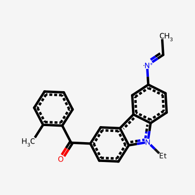 CC=[N+]c1ccc2c(c1)c1cc(C(=O)c3ccccc3C)ccc1n2CC